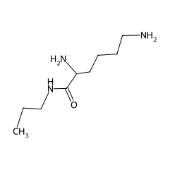 CCCNC(=O)C(N)CCCCN